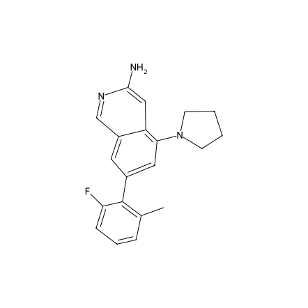 Cc1cccc(F)c1-c1cc(N2CCCC2)c2cc(N)ncc2c1